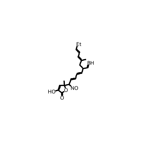 B=CC(/C=C/C=C/C(N=O)C1(C)C=C(O)C(=O)O1)C/C(C)=C/C=C/CC